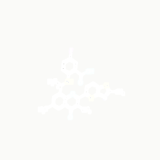 Cc1cc([C@@H](C)Nc2ccc(F)cc2C(=O)O)c2oc(-c3ccc4nc(C)sc4n3)c(C)c(=O)c2c1